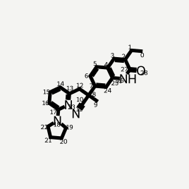 CCc1cc2ccc(C(C)(C#N)Cc3cccc(N4CCCC4)n3)cc2[nH]c1=O